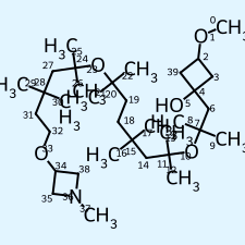 COC1CC(O)(CC(C)(C)OC(C)(C)CC(C)(C)CCC(C)(C)OC(C)(C)CC(C)(C)CCOC2CN(C)C2)C1